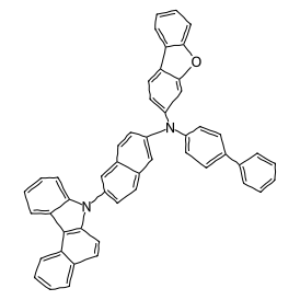 c1ccc(-c2ccc(N(c3ccc4cc(-n5c6ccccc6c6c7ccccc7ccc65)ccc4c3)c3ccc4c(c3)oc3ccccc34)cc2)cc1